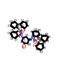 O=C1CC(=NO[Si](c2ccccc2)(c2ccccc2)c2ccccc2)CC(=NO[Si](c2ccccc2)(c2ccccc2)c2ccccc2)C1